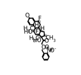 C[C@H]1C[C@H]2[C@@H]3C[C@H](F)C4=CC(=O)C=C[C@]4(C)C3(F)[C@@H](O)C[C@]2(C)[C@@]1(O)C(=O)COCc1ccccc1[N+](=O)[O-]